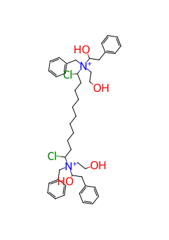 OCC[N+](Cc1ccccc1)(C(O)Cc1ccccc1)C(Cl)CCCCCCCCCC(Cl)[N+](CCO)(Cc1ccccc1)C(O)Cc1ccccc1